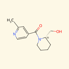 Cc1cc(C(=O)N2CCCC[C@H]2CO)ccn1